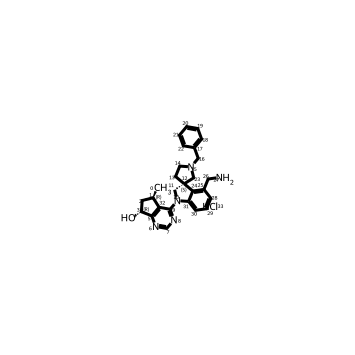 C[C@@H]1C[C@@H](O)c2ncnc(N3C[C@@]4(CCN(Cc5ccccc5)C4)c4c(CN)cccc43)c21.Cl